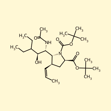 C/C=C\[C@@H]1C[C@H](C(=O)OC(C)(C)C)N(C(=O)OC(C)(C)C)[C@H]1[C@@H](NC(C)=O)[C@@H](O)C(CC)CC